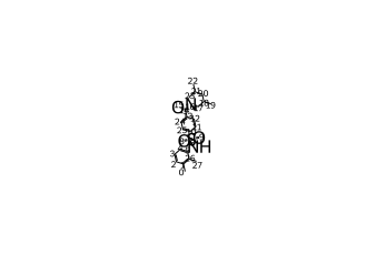 Cc1cccc(NS(=O)(=O)c2ccc(C(=O)N3CC(C)CC(C)C3)cc2)c1C